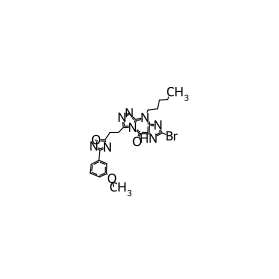 CCCCCn1c2nc(Br)[nH]c2c(=O)n2c(CCc3nc(-c4cccc(OC)c4)no3)nnc12